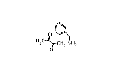 CC(=O)C(C)=O.CCc1ccccc1